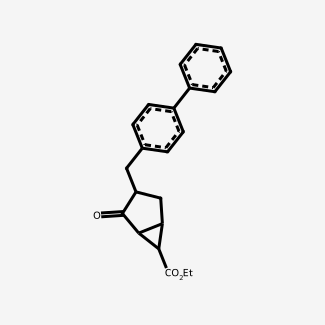 CCOC(=O)C1C2CC(Cc3ccc(-c4ccccc4)cc3)C(=O)C21